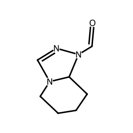 O=CN1N=CN2CCCCC21